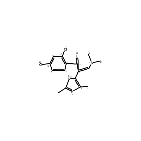 Cc1nc(C)c(C(=CN(C)C)C(=O)c2ccc(Cl)cc2Cl)[nH]1